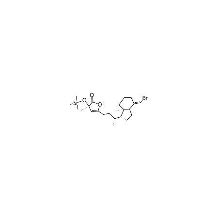 C[C@H](CCC1=C[C@@](C)(O[Si](C)(C)C)C(=O)O1)[C@H]1CCC2C(=CBr)CCC[C@@]21C